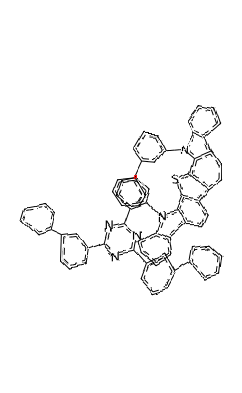 c1ccc(-c2cccc(-c3nc(-c4cccc(-c5ccccc5)c4)nc(-c4ccccc4-n4c5ccccc5c5ccc6c7ccc8c9ccccc9n(-c9cccc(-c%10ccccc%10)c9)c8c7sc6c54)n3)c2)cc1